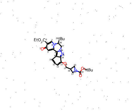 CCOC(=O)c1cn2c(cc1=O)-c1c3cccc(OCC4CN(C(=O)OC(C)(C)C)C4)c3nn1CC2C(C)(C)C